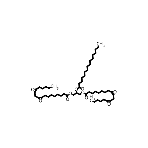 CCCCCCCCCCCCCCCC(=O)OC(COC(=O)CCCCCCCC1OC1CC1OC1CCCCC)COC(=O)CCCCCCCC1OC1CC1OC1CCCCC